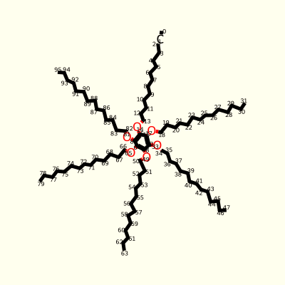 CCCCCCCCCCCCCCOc1c(OCCCCCCCCCCCCCC)c(OCCCCCCCCCCCCCC)c(OCCCCCCCCCCCCCC)c(OCCCCCCCCCCCCCC)c1OCCCCCCCCCCCCCC